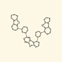 c1cc(-c2cnc3oc4cccc(-c5cccc(-c6cccc7c6sc6ccccc67)c5)c4c3n2)cc(-c2cccc3c2sc2ccccc23)c1